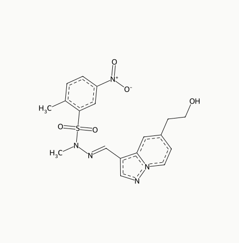 Cc1ccc([N+](=O)[O-])cc1S(=O)(=O)N(C)N=Cc1cnn2ccc(CCO)cc12